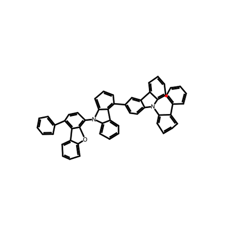 c1ccc(-c2ccccc2-n2c3ccccc3c3cc(-c4cccc5c4c4ccccc4n5-c4ccc(-c5ccccc5)c5c4oc4ccccc45)ccc32)cc1